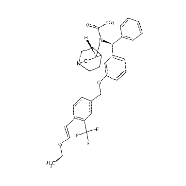 CCO/C=C/c1ccc(COc2cccc([C@H](c3ccccc3)N(C(=O)O)[C@H]3CN4CCC3CC4)c2)cc1C(F)(F)F